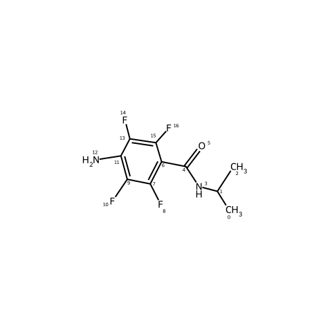 CC(C)NC(=O)c1c(F)c(F)c(N)c(F)c1F